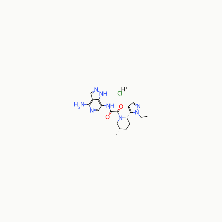 CCn1nccc1[C@@H]1CC[C@H](C)CN1C(=O)C(=O)Nc1cnc(N)c2cn[nH]c12.[Cl-].[H+]